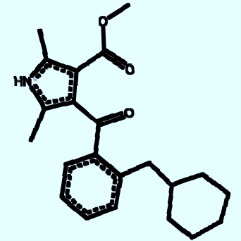 COC(=O)c1c(C)[nH]c(C)c1C(=O)c1ccccc1CC1CCCCC1